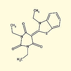 CCN1C(=O)C(=C2Sc3ccccc3N2CC)C(=O)N(CC)C1=O